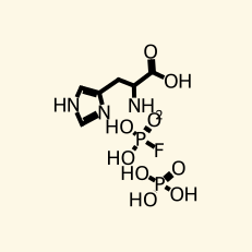 NC(Cc1c[nH]cn1)C(=O)O.O=P(O)(O)F.O=P(O)(O)O